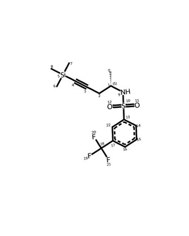 C[C@@H](CC#C[Si](C)(C)C)NS(=O)(=O)c1cccc(C(F)(F)F)c1